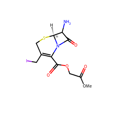 COC(=O)COC(=O)C1=C(CI)CS[C@H]2C(N)C(=O)N12